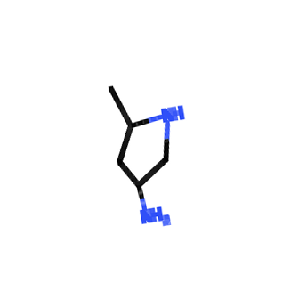 CC1CC(N)CN1